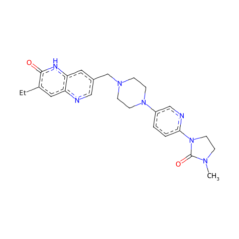 CCc1cc2ncc(CN3CCN(c4ccc(N5CCN(C)C5=O)nc4)CC3)cc2[nH]c1=O